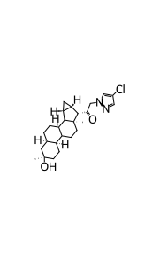 C[C@@]1(O)CC[C@@H]2C3CC[C@@]4(C)C([C@@H]3CC[C@@H]2C1)[C@@H]1C[C@@H]1[C@@H]4C(=O)Cn1cc(Cl)cn1